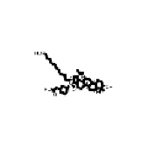 C=C(C)[C@@H]1CC[C@]2(C(=O)N(C(=O)CCCCCCCCCCN)c3cccc(CC(=O)O)c3)CC[C@]3(C)[C@H](CCC4[C@@]5(C)CC[C@H](O)C(C)(C)[C@@H]5CC[C@]43C)[C@@H]12